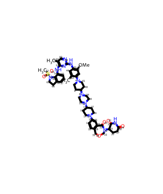 COc1cc(N2CCC(N3CCN(C4CCN(c5ccc6c(c5)C(=O)N(C5CCC(=O)NC5=O)COC6)CC4)CC3)CC2)c(C)cc1Nc1ncc(C)c(Nc2cccc3c2N(S(C)(=O)=O)CC3)n1